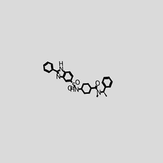 C[C@H](c1ccccc1)N(C)C(=O)C1CCC(NS(=O)(=O)c2ccc3[nH]c(-c4ccccc4)nc3c2)CC1